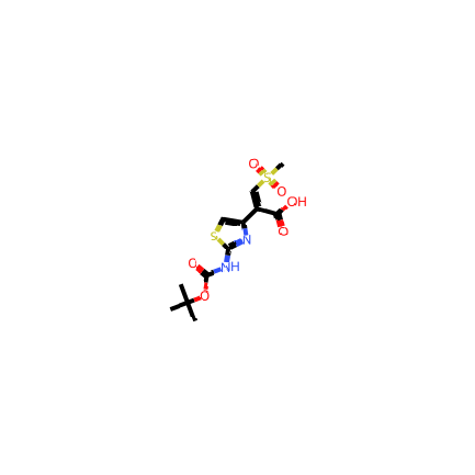 CC(C)(C)OC(=O)Nc1nc(/C(=C/S(C)(=O)=O)C(=O)O)cs1